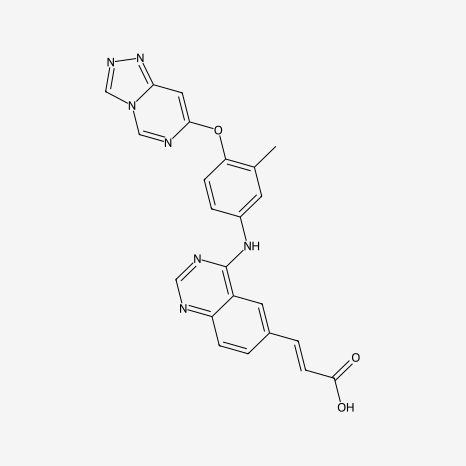 Cc1cc(Nc2ncnc3ccc(C=CC(=O)O)cc23)ccc1Oc1cc2nncn2cn1